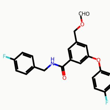 O=COCc1cc(Oc2ccc(F)cc2)cc(C(=O)NCc2ccc(F)cc2)c1